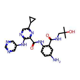 CC(C)(O)CNC(=O)c1cc(N)ccc1NC(=O)c1nc(C2CC2)cnc1Nc1cncnc1